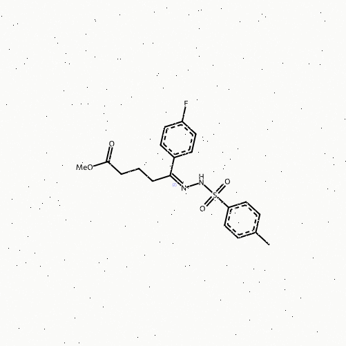 COC(=O)CCC/C(=N/NS(=O)(=O)c1ccc(C)cc1)c1ccc(F)cc1